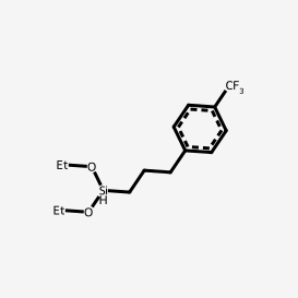 CCO[SiH](CCCc1ccc(C(F)(F)F)cc1)OCC